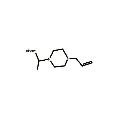 C=CCN1CCN(C(C)CCCCC)CC1